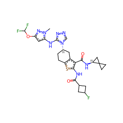 Cn1nc(OC(F)F)cc1Nc1nncn1[C@H]1CCc2sc(NC(=O)C3CC(F)C3)c(C(=O)N[C@H]3CC34CC4)c2C1